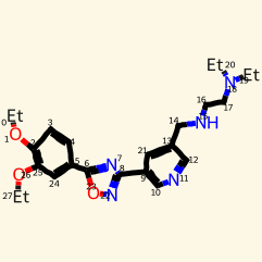 CCOc1ccc(-c2nc(-c3cncc(CNCCN(CC)CC)c3)no2)cc1OCC